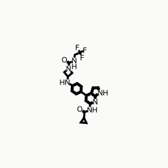 O=C(Nc1cc(-c2ccc(NC3CN(C(=O)NCC(F)(F)F)C3)cc2)c2cc[nH]c2n1)C1CC1